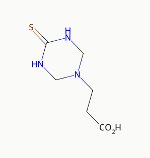 O=C(O)CCN1CNC(=S)NC1